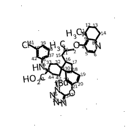 C[C@@H](COc1ccnc2c1[C@H](C)CCC2)CC1Cc2ccc(Oc3nnnn3C(C)(C)C)cc2C12CCC(Nc1cccc(Cl)c1)(C(=O)O)CC2